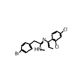 C/C=C(/N=C(/Cc1ccc(Br)cc1)NC)c1ccc(Cl)cc1Cl